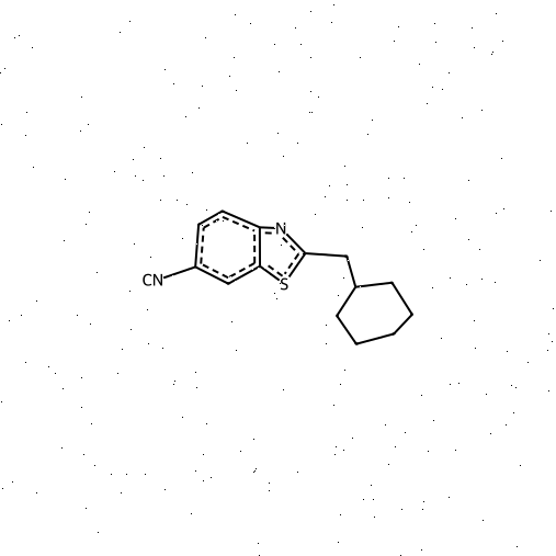 [C-]#[N+]c1ccc2nc(CC3CCCCC3)sc2c1